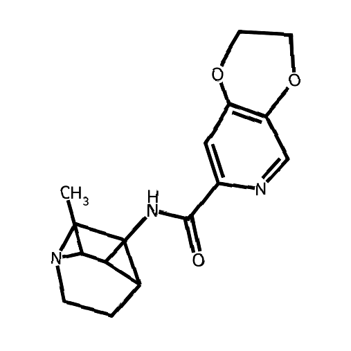 CC1C(NC(=O)c2cc3c(cn2)OCCO3)C2CCN1CC2